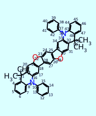 CC1(C)c2ccccc2N(c2ccccc2)c2cc3c(cc21)oc1cc2c(cc13)oc1cc3c(cc12)N(c1ccccc1)c1ccccc1C3(C)C